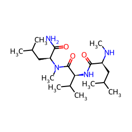 CN[C@@H](CC(C)C)C(=O)N[C@H](C(=O)N(C)[C@@H](CC(C)C)C(N)=O)C(C)C